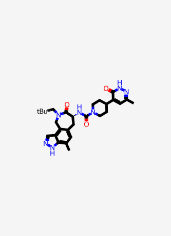 Cc1cc(C2CCN(C(=O)N[C@@H]3Cc4cc(C)c5[nH]ncc5c4CN(CC(C)(C)C)C3=O)CC2)c(=O)[nH]n1